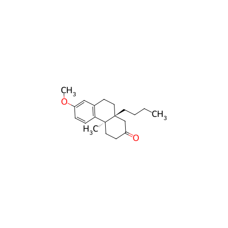 CCCC[C@]12CCc3cc(OC)ccc3[C@]1(C)CCC(=O)C2